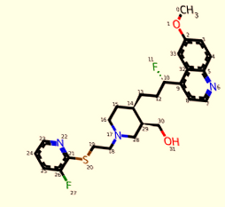 COc1ccc2nccc([C@@H](F)CC[C@@H]3CCN(CCSc4ncccc4F)C[C@@H]3CO)c2c1